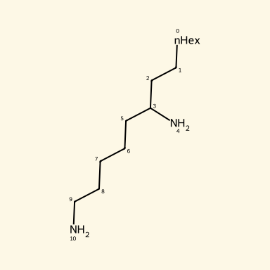 CCCCCCCCC(N)CCCCCN